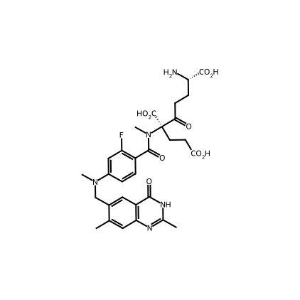 Cc1nc2cc(C)c(CN(C)c3ccc(C(=O)N(C)[C@@](CCC(=O)O)(C(=O)O)C(=O)CC[C@H](N)C(=O)O)c(F)c3)cc2c(=O)[nH]1